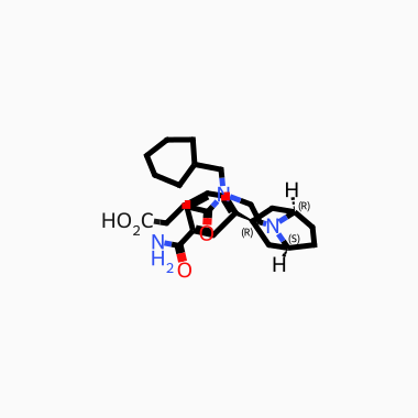 NC(=O)c1cccc([C@H]2C[C@H]3CC[C@@H](C2)N3CCN(CC2CCCCC2)C(=O)CCC(=O)O)c1